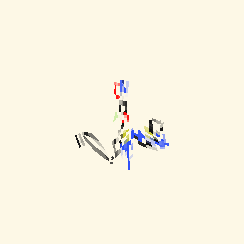 Cc1c(Nc2nc(C(=O)O)c(CCCOc3ccc(C(=O)N(C)C)cc3F)s2)nnc(Nc2nc3ccccc3s2)c1C